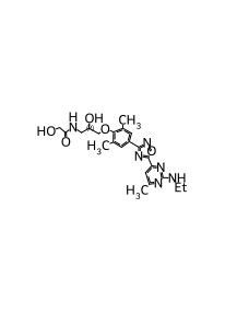 CCNc1nc(C)cc(-c2nc(-c3cc(C)c(OC[C@H](O)CNC(=O)CO)c(C)c3)no2)n1